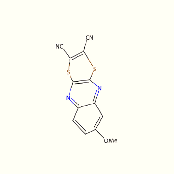 COc1ccc2nc3c(nc2c1)SC(C#N)=C(C#N)S3